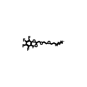 [N-]=[N+]=NCCOCCOCC(=O)Oc1c(F)c(F)c(F)c(F)c1F